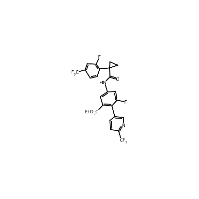 CCOC(=O)c1cc(NC(=O)C2(c3ccc(C(F)(F)F)cc3F)CC2)cc(F)c1-c1ccc(C(F)(F)F)nc1